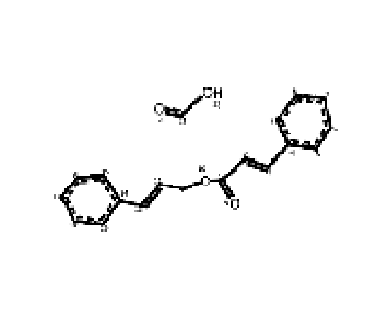 O=C(/C=C/c1ccccc1)OC/C=C/c1ccccc1.O=CO